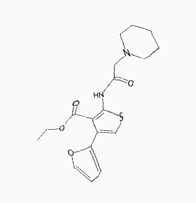 CCOC(=O)c1c(-c2ccco2)csc1NC(=O)CN1CCCCC1